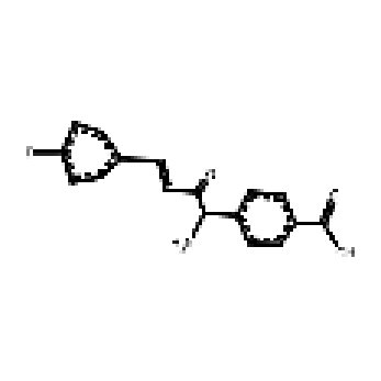 NC(C(=O)/C=C/c1ccc(F)cc1)c1ccc(C(=O)O)cc1